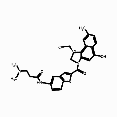 Cc1ccc2c(O)cc3c(c2c1)[C@H](CCl)CN3C(=O)c1cc2cc(NC(=O)CCN(C)C)ccc2s1